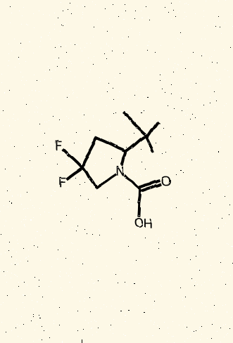 CC(C)(C)C1CC(F)(F)CN1C(=O)O